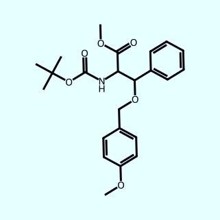 COC(=O)C(NC(=O)OC(C)(C)C)C(OCc1ccc(OC)cc1)c1ccccc1